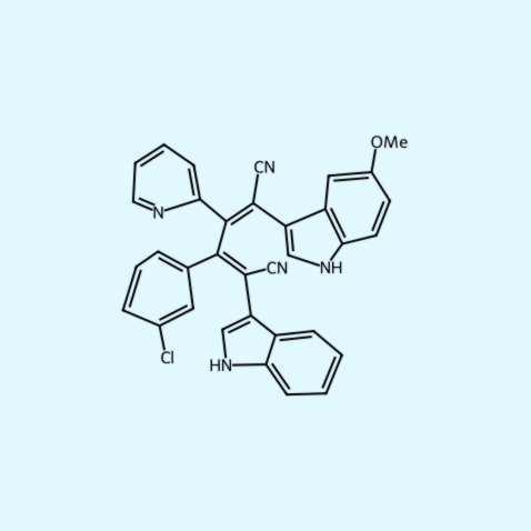 COc1ccc2[nH]cc(/C(C#N)=C(\C(=C(/C#N)c3c[nH]c4ccccc34)c3cccc(Cl)c3)c3ccccn3)c2c1